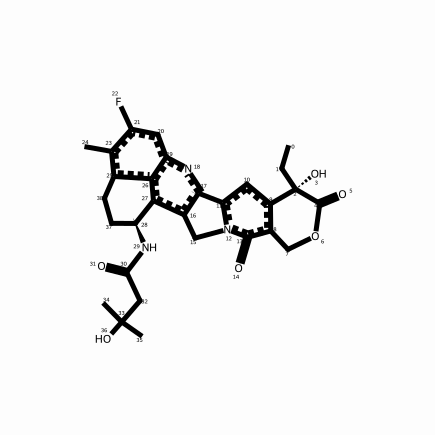 CC[C@@]1(O)C(=O)OCc2c1cc1n(c2=O)Cc2c-1nc1cc(F)c(C)c3c1c2[C@@H](NC(=O)CC(C)(C)O)CC3